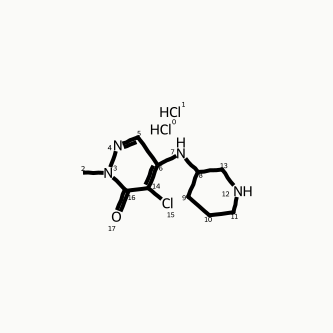 Cl.Cl.Cn1ncc(NC2CCCNC2)c(Cl)c1=O